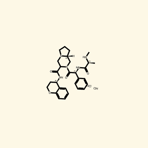 CN[C@@H](C)C(=O)N[C@H](C(=O)N1C[C@H]2CCCN2CC1C(=O)N[C@@H]1CCOc2ccccc21)c1ccccc1.Cl.Cl